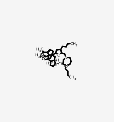 CCCCC1CC(C23C[C@@H]4[C@H](C)CC[C@H]4C4(C=O)CC2C=C(C(C)C)C34C(=O)O)OC1CN1CCCN(CCCC)CC1